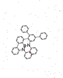 c1ccc(-c2cc(-c3ccccc3)c3c(c2)N(c2ccccc2)B2c4c(cccc4-3)-c3ccccc3N2c2ccccc2)cc1